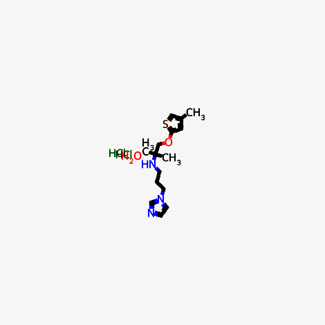 Cc1csc(OCC(C)(C)NCCCn2ccnc2)c1.Cl.Cl.O